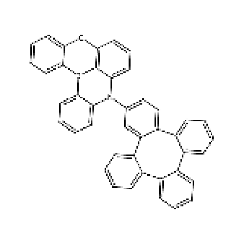 c1ccc2c(c1)Oc1cccc3c1B2c1ccccc1N3c1ccc2c(c1)-c1ccccc1-c1ccccc1-c1ccccc1-2